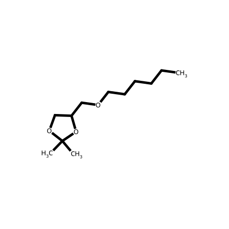 CCCCCCOCC1COC(C)(C)O1